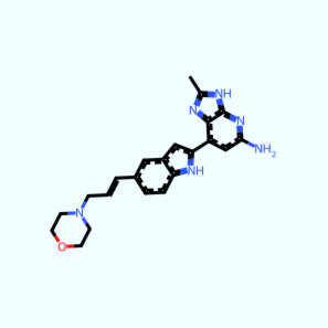 Cc1nc2c(-c3cc4cc(/C=C/CN5CCOCC5)ccc4[nH]3)cc(N)nc2[nH]1